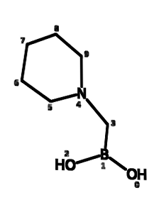 OB(O)CN1CCCCC1